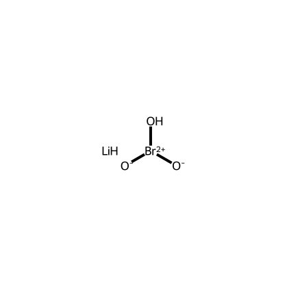 [LiH].[O-][Br+2]([O-])O